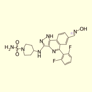 NS(=O)(=O)N1CCC(Nc2n[nH]c3c2nc(-c2c(F)cccc2F)c2cc(/C=N/O)ccc23)CC1